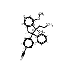 CCC[C@@]1(O)c2c(OC)cncc2OC1(c1ccccc1)c1ccc(C#N)cc1